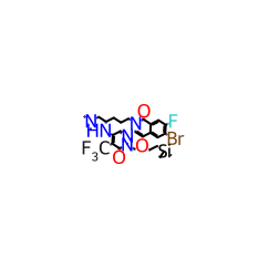 CN(C)CC(CCCn1ccc2cc(Br)c(F)cc2c1=O)Nc1cnn(COCC[Si](C)(C)C)c(=O)c1C(F)(F)F